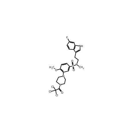 COc1ccc(S(=O)(=O)N(C)CCc2c[nH]c3cc(F)ccc23)cc1N1CCN(C(=O)C(Cl)(Cl)Cl)CC1